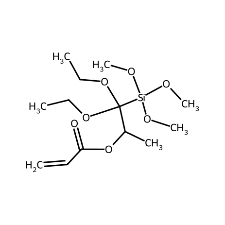 C=CC(=O)OC(C)C(OCC)(OCC)[Si](OC)(OC)OC